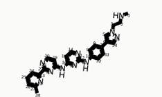 CNCCn1cc(-c2ccc(Nc3nccc(Nc4ccnc(-c5cccc(C)n5)n4)n3)cc2)cn1